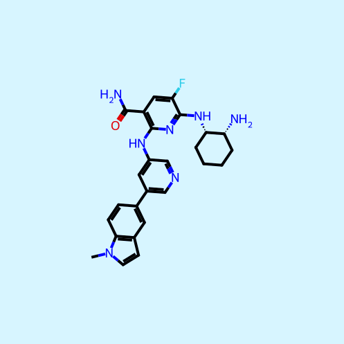 Cn1ccc2cc(-c3cncc(Nc4nc(N[C@H]5CCCC[C@H]5N)c(F)cc4C(N)=O)c3)ccc21